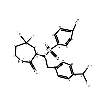 O=C1NCCC(F)(F)C[C@H]1N(Cc1ccc(C(F)F)cc1)S(=O)(=O)c1ccc(Cl)cc1